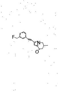 CC1CC(=O)c2cc(C#Cc3cccc(CF)c3)cn2C1